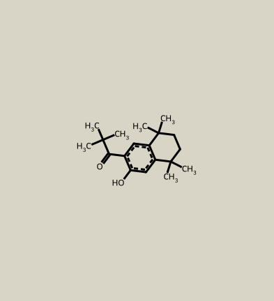 CC(C)(C)C(=O)c1cc2c(cc1O)C(C)(C)CCC2(C)C